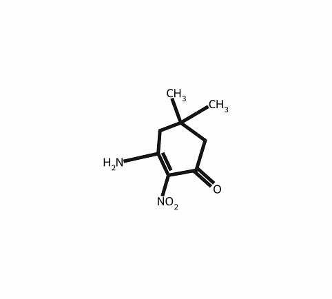 CC1(C)CC(=O)C([N+](=O)[O-])=C(N)C1